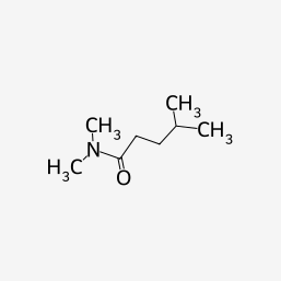 CC(C)CCC(=O)N(C)C